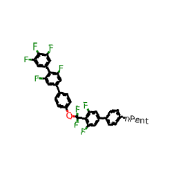 CCCCCc1ccc(-c2cc(F)c(C(F)(F)Oc3ccc(-c4cc(F)c(-c5cc(F)c(F)c(F)c5)c(F)c4)cc3)c(F)c2)cc1